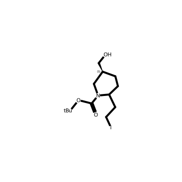 CC(C)(C)OC(=O)N1C[C@@H](CO)CCC1CCI